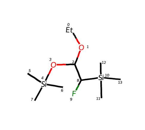 CCOC(O[Si](C)(C)C)C(F)[Si](C)(C)C